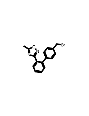 Cc1nc(-c2ccccc2-c2ccc(CBr)cc2)no1